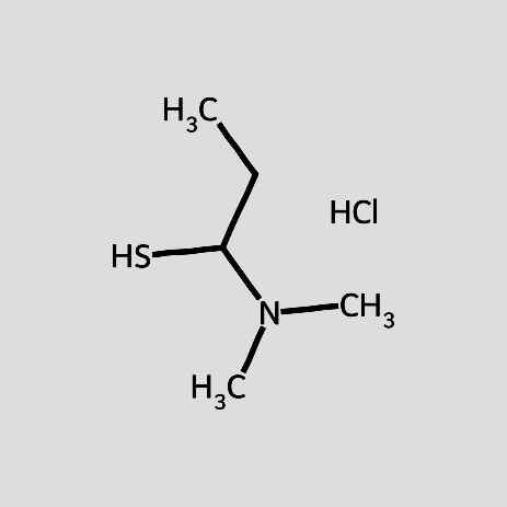 CCC(S)N(C)C.Cl